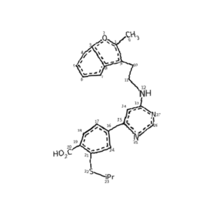 Cc1oc2ccccc2c1CCNc1cc(-c2ccc(C(=O)O)c(SC(C)C)c2)ncn1